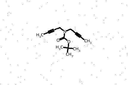 CC#CCN(CC#CC)C(=O)OC(C)(C)C